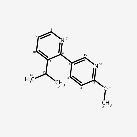 COc1ccc(-c2ncccc2C(C)C)cn1